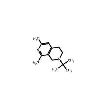 Cc1cc2c(c(N)n1)CN(C(C)(C)C)CC2